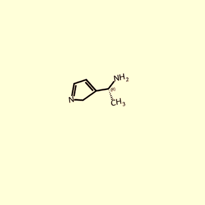 C[C@@H](N)C1=CC=NC1